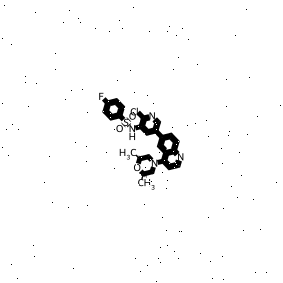 C[C@@H]1CN(c2ccnc3ccc(-c4cnc(Cl)c(NS(=O)(=O)c5ccc(F)cc5)c4)cc23)C[C@H](C)O1